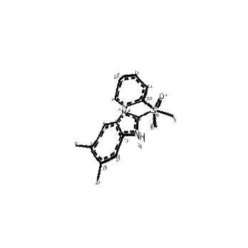 Cc1cc2nc(S(C)(C)(=O)c3ccccn3)[nH]c2cc1C